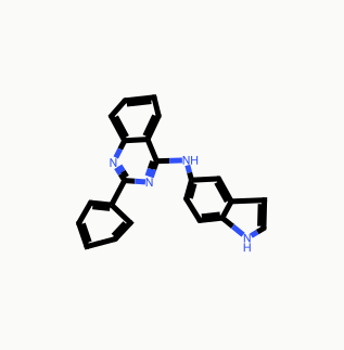 c1ccc(-c2nc(Nc3ccc4[nH]ccc4c3)c3ccccc3n2)cc1